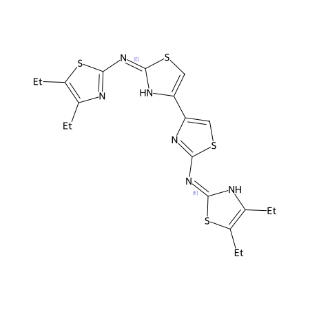 CCc1nc(/N=c2\[nH]c(-c3csc(/N=c4\[nH]c(CC)c(CC)s4)n3)cs2)sc1CC